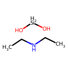 CCNCC.O[SiH2]O